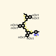 CCCCCCCCc1cc2c(cc1CCCCCCCC)c1cc(-c3cc4c5cc(CCCCCCCC)c(CCCCCCCC)cc5c5cc(-c6cc7c8cc(CCCCCCCC)c(CCCCCCCC)cc8c8cc(-c9ccc(C)c%10nsnc9%10)sc8c7s6)sc5c4s3)sc1c1sc(C)cc21